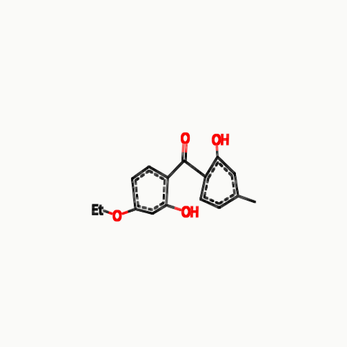 CCOc1ccc(C(=O)c2ccc(C)cc2O)c(O)c1